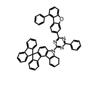 C1=Cc2c(n(-c3nc(-c4ccccc4)nc(-c4ccc5c(c4)oc4cccc(-c6ccccc6)c45)n3)c3ccc4c(c23)-c2ccccc2C42c3ccccc3-c3ccccc32)CC1